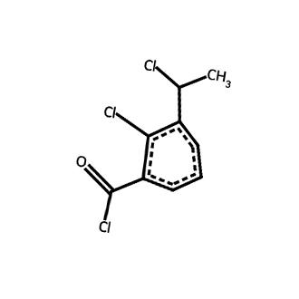 CC(Cl)c1cccc(C(=O)Cl)c1Cl